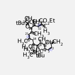 C=C/C=C\[C@H](C)[C@H](O)[C@@H](C)[C@H](O[Si](C)(C)C(C)(C)C)[C@@H](C)C/C(C)=C\[C@H](C)[C@@H](O[Si](C)(C)C(C)(C)C)[C@@H](C)/C=C(/C)C(=O)OCC